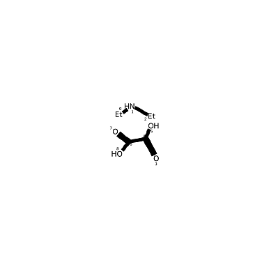 CCNCC.O=C(O)C(=O)O